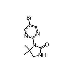 CC1(C)CNC(=O)N1c1ncc(Br)cn1